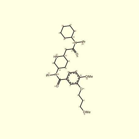 COCCCOc1cc(C(=O)N(C(C)C)C2CCC(CC(=O)N(C(C)C)C3CCCCC3)NC2)ccc1OC